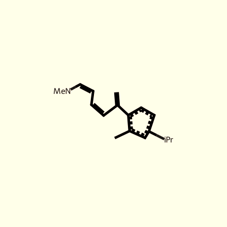 C=C(/C=C\C=C/NC)c1ccc(C(C)C)cc1C